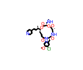 CNC[C@@H]1OC(=O)[C@H](C)CNC(=O)[C@@H](Cc2ccc(OC)c(Cl)c2)NC(=O)/C=C/C[C@@H]([C@H](C)/C=C/c2ccncc2)OC1=O